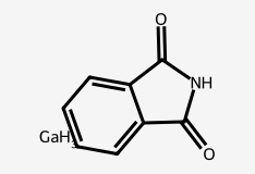 O=C1NC(=O)c2ccccc21.[GaH3]